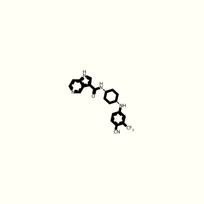 N#Cc1ccc(N[C@H]2CC[C@@H](NC(=O)c3c[nH]c4ccncc34)CC2)cc1C(F)(F)F